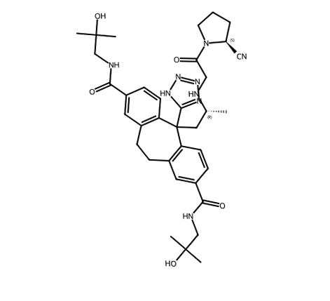 C[C@H](CC1(c2nnn[nH]2)c2ccc(C(=O)NCC(C)(C)O)cc2CCc2cc(C(=O)NCC(C)(C)O)ccc21)NCC(=O)N1CCC[C@H]1C#N